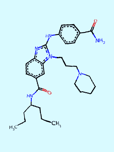 CCCC(CCC)NC(=O)c1ccc2nc(Nc3ccc(C(N)=O)cc3)n(CCCN3CCCCC3)c2c1